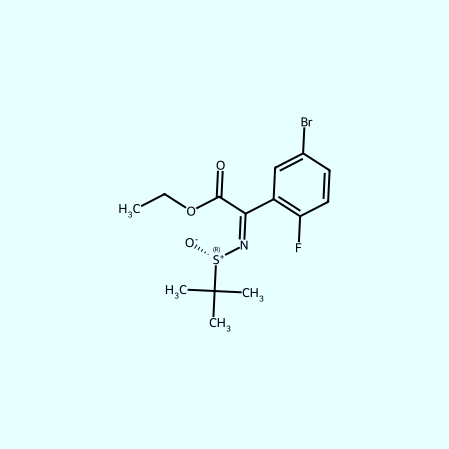 CCOC(=O)C(=N[S@@+]([O-])C(C)(C)C)c1cc(Br)ccc1F